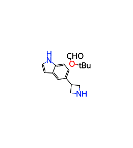 CC(C)(C)OC=O.c1cc2cc(C3CNC3)ccc2[nH]1